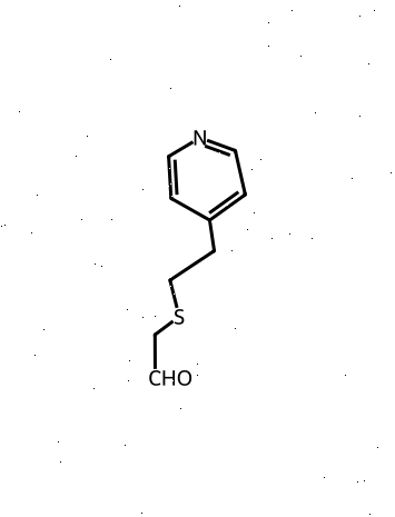 O=CCSCCc1ccncc1